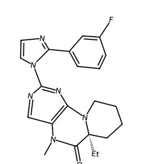 CC[C@@]12CCCCN1c1nc(-n3ccnc3-c3cccc(F)c3)ncc1N(C)C2=O